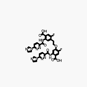 O=C(Nc1cc(CCOc2cc(NC(=O)c3ccc(-n4ccnc4)nn3)c(C(=O)O)cc2F)c(F)cc1C(=O)O)c1ccc(-n2ccnc2)nn1